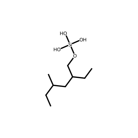 CCC(C)CC(CC)CO[Si](O)(O)O